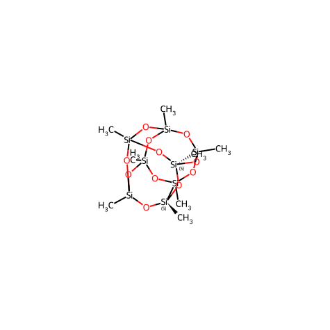 C[Si]12O[Si]3(C)O[Si]4(C)O[Si](C)(O1)O[Si@@]1(C)O[Si](C)(O2)O[Si](C)(O3)[Si@@](C)(O4)O1